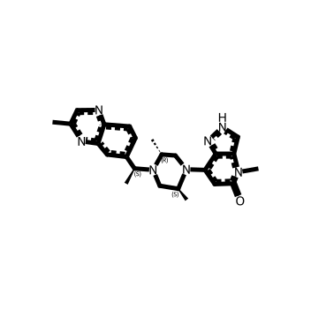 Cc1cnc2ccc([C@H](C)N3C[C@H](C)N(c4cc(=O)n(C)c5c[nH]nc45)C[C@H]3C)cc2n1